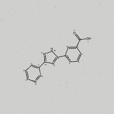 O=C(O)c1cccc(-c2nc(-c3cccnc3)n[nH]2)c1